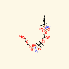 CC#CC(C)(C)[S+]([O-])NS(=O)(=O)OCC(O)COC(C)(C)C(C)(C)S(=O)(=O)NS(=O)(=O)OCCOCCO